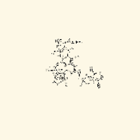 Cc1nc(N)cc(-c2nc3c4c(nc(OCC5(CN6C[C@@H]7C[C@H]6CO7)CC5)nc4c2F)N2C[C@H]4CC[C@H](N4)[C@H]2[C@H](C)O3)c1C(F)(F)F